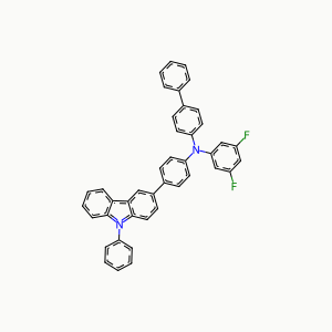 Fc1cc(F)cc(N(c2ccc(-c3ccccc3)cc2)c2ccc(-c3ccc4c(c3)c3ccccc3n4-c3ccccc3)cc2)c1